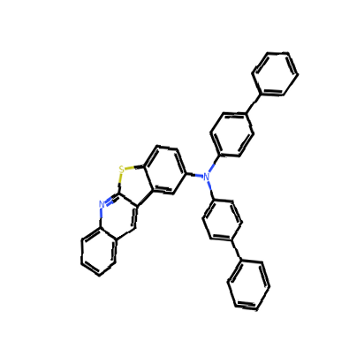 c1ccc(-c2ccc(N(c3ccc(-c4ccccc4)cc3)c3ccc4sc5nc6ccccc6cc5c4c3)cc2)cc1